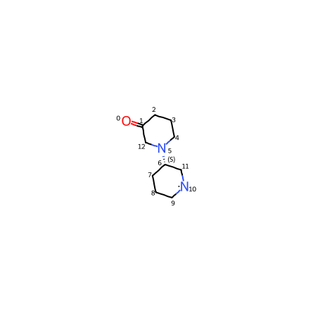 O=C1CCCN([C@H]2CCC[N]C2)C1